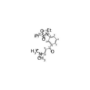 CCN(c1cccc(C(=O)C=CN(C)C)c1)S(=O)(=O)C(C)C